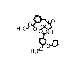 CCOC(=O)c1cccc(CN2C(=O)C[C@H](NC(=O)c3ccc(OC)c(OC4CCCC4)c3)C2=O)c1